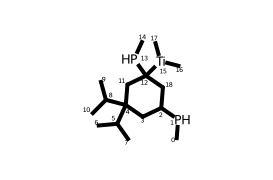 CPC1CC(C(C)C)(C(C)C)C[C](PC)([Ti]([CH3])[CH3])C1